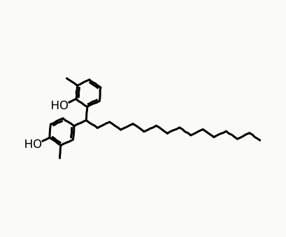 CCCCCCCCCCCCCCCC(c1ccc(O)c(C)c1)c1cccc(C)c1O